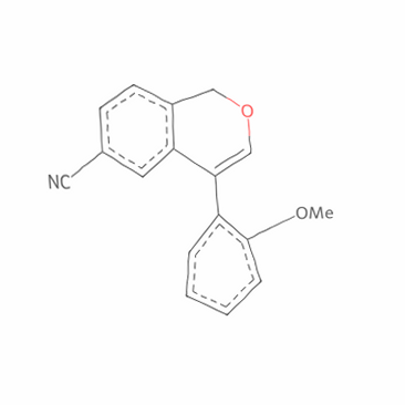 COc1ccccc1C1=COCc2ccc(C#N)cc21